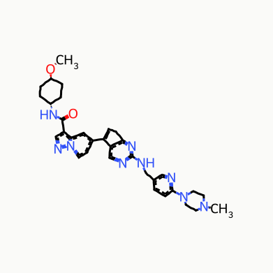 CO[C@H]1CC[C@H](NC(=O)c2cnn3ccc(C4=CCc5nc(NCc6ccc(N7CCN(C)CC7)nc6)ncc54)cc23)CC1